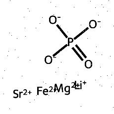 O=P([O-])([O-])[O-].[Fe+2].[Li+].[Mg+2].[Sr+2]